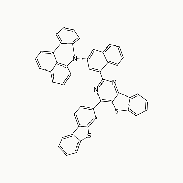 c1ccc2c(c1)-c1cccc3cccc(c13)N2c1cc(-c2nc(-c3ccc4c(c3)sc3ccccc34)c3sc4ccccc4c3n2)c2ccccc2c1